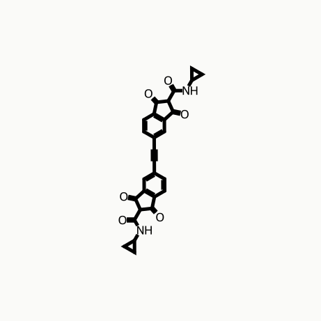 O=C(NC1CC1)C1C(=O)c2ccc(C#Cc3ccc4c(c3)C(=O)C(C(=O)NC3CC3)C4=O)cc2C1=O